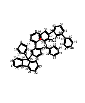 c1ccc(-c2cc(C3(c4ccccc4)c4ccccc4-c4ccccc43)ccc2N(c2ccccc2)c2cccc3c2oc2c(-c4ccccc4)cccc23)cc1